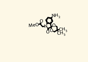 COC(=O)CN1C(=O)C2(OCC(C)(C)CO2)c2cc(N)ccc21